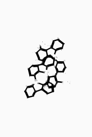 N#Cc1cccc(-n2c3ccccc3c3cccc(-n4c5ccccc5c5ccccc54)c32)c1-c1cccc(-n2c3ccccc3c3c(C#N)cccc32)c1